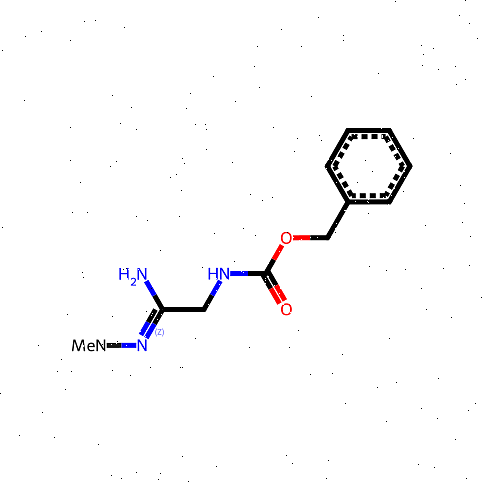 CN/N=C(\N)CNC(=O)OCc1ccccc1